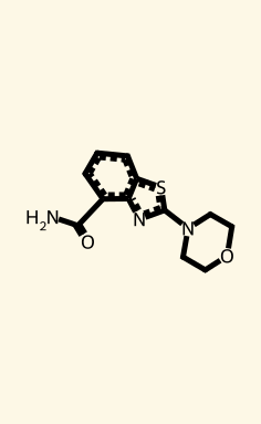 NC(=O)c1cccc2sc(N3CCOCC3)nc12